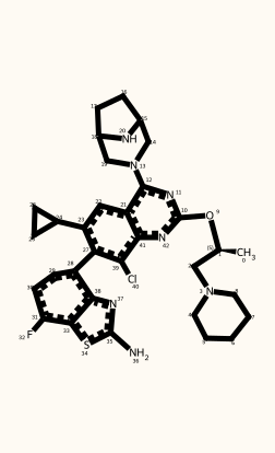 C[C@@H](CN1CCCCC1)Oc1nc(N2CC3CCC(C2)N3)c2cc(C3CC3)c(-c3ccc(F)c4sc(N)nc34)c(Cl)c2n1